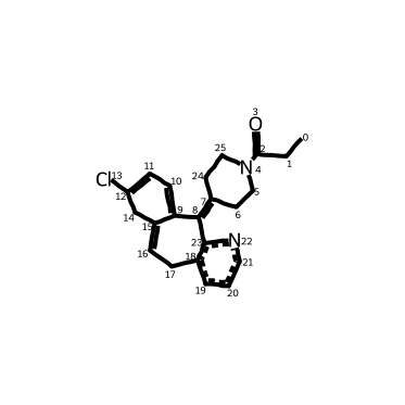 CCC(=O)N1CCC(=C2C3=CC=C(Cl)CC3=CCc3cccnc32)CC1